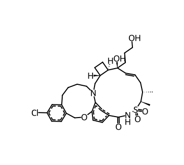 C[C@@H]1[C@@H](C)C/C=C/[C@@](O)(CCCO)[C@@H]2CC[C@H]2CN2CCCCc3cc(Cl)ccc3COc3ccc(cc32)C(=O)NS1(=O)=O